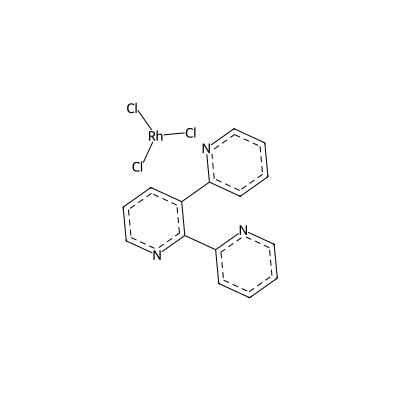 [Cl][Rh]([Cl])[Cl].c1ccc(-c2cccnc2-c2ccccn2)nc1